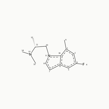 Cc1cc(F)cc2ccn(C[C@@H](C)N(C)C)c12